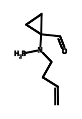 BN(CCC=C)C1(C=O)CC1